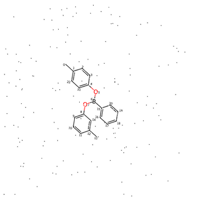 Cc1ccc(OB(Oc2cccc(C)c2)c2ccccc2)cc1